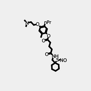 CCCc1cc(OC(=O)CCCC(=O)NCC2(SN=O)CCCCC2)c(C)cc1OCCN(C)C